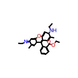 CC/N=C1/C=C2OC3=CC(NCC)C(C)=CC3=C(c3ccccc3C(=O)OCC)C2C=C1C